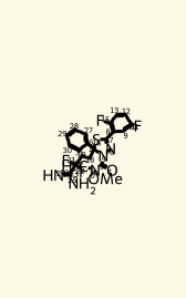 CON(C)C(=O)N1N=C(c2cc(F)ccc2F)SC1(CCC(F)(F)C(=N)N)c1ccccc1